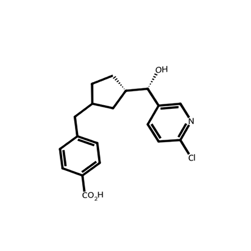 O=C(O)c1ccc(CC2CC[C@H]([C@H](O)c3ccc(Cl)nc3)C2)cc1